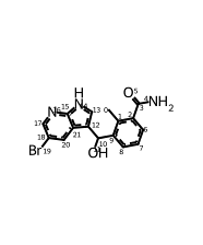 Cc1c(C(N)=O)cccc1C(O)c1c[nH]c2ncc(Br)cc12